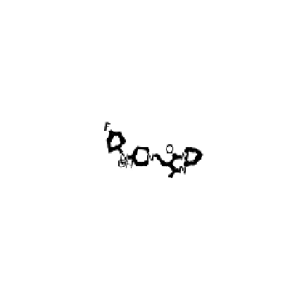 Cc1nc2ccccn2c(=O)c1CCN1CCC(N(O)c2ccc(F)cc2)CC1